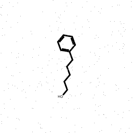 OCCC[CH]Cc1ccccc1